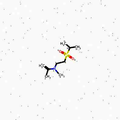 C=C(C)N(C)CCS(=O)(=O)C(C)C